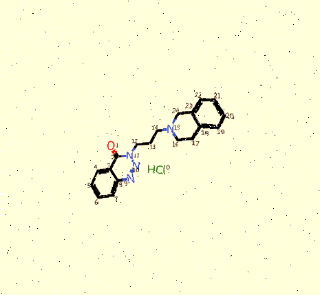 Cl.O=c1c2ccccc2nnn1CCCN1CCc2ccccc2C1